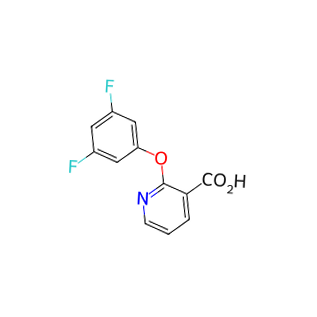 O=C(O)c1cccnc1Oc1cc(F)cc(F)c1